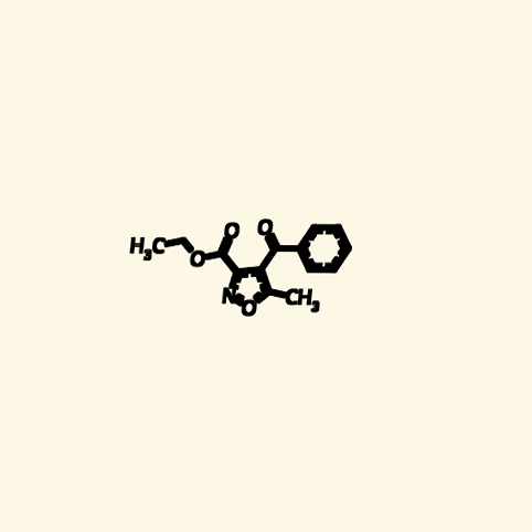 CCOC(=O)c1noc(C)c1C(=O)c1ccccc1